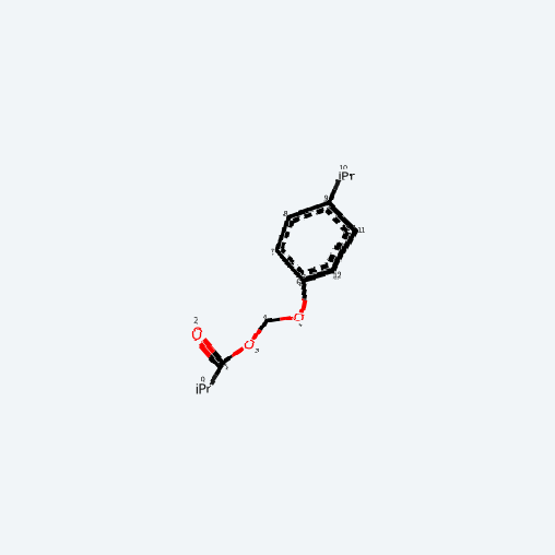 CC(C)C(=O)OCOc1ccc(C(C)C)cc1